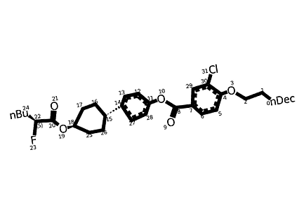 CCCCCCCCCCCCOc1ccc(C(=O)Oc2ccc([C@H]3CC[C@H](OC(=O)[C@@H](F)CCCC)CC3)cc2)cc1Cl